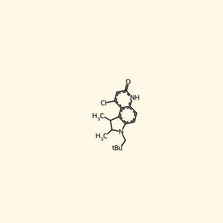 CC1c2c(ccc3[nH]c(=O)cc(Cl)c23)N(CC(C)(C)C)C1C